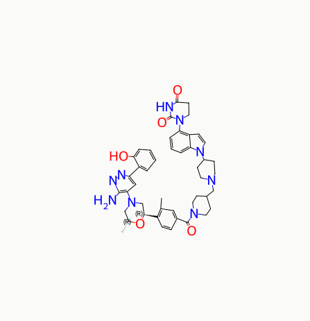 Cc1cc(C(=O)N2CCC(CN3CCC(n4ccc5c(N6CCC(=O)NC6=O)cccc54)CC3)CC2)ccc1[C@@H]1CN(c2cc(-c3ccccc3O)nnc2N)C[C@@H](C)O1